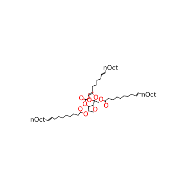 CCCCCCCCC=CCCCCCCCC(=O)OCC1([C@H]2OC[C@H](OC(=O)CCCCCCCC=CCCCCCCCC)[C@H]2OC(=O)CCCCCCCC=CCCCCCCCC)OCCO1